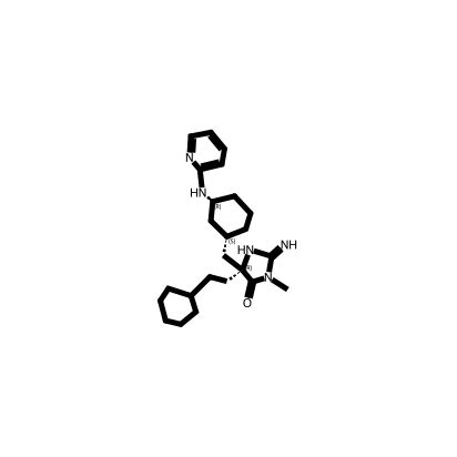 CN1C(=N)N[C@](CCC2CCCCC2)(C[C@H]2CCC[C@@H](Nc3ccccn3)C2)C1=O